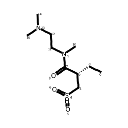 C[CH][C@H](C[SH](=O)=O)C(=O)N(C)CCN(C)C